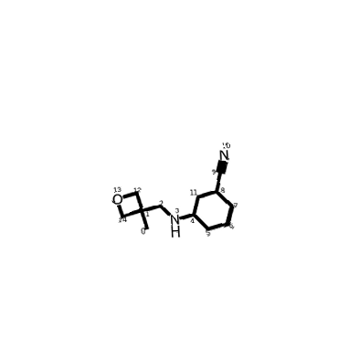 CC1(CNC2CCCC(C#N)C2)COC1